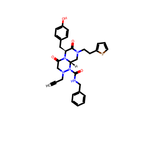 C#CCN1CC(=O)N2[C@@H](Cc3ccc(O)cc3)C(=O)N(CCc3cccs3)C[C@@H]2N1C(=O)NCc1ccccc1